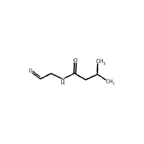 CC(C)CC(=O)NCC=O